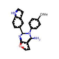 COc1ccc(N2C(N)=c3ccoc3=NC2c2ccc3[nH]ccc3c2)cc1